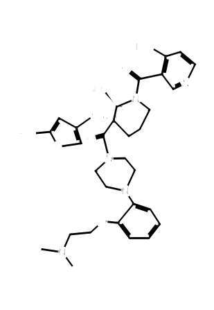 CCC[C@H]1N(C(=O)c2cnccc2C(F)(F)F)CCC[C@@]1(Oc1csc(C(F)(F)F)c1)C(=O)N1CCN(c2ccccc2OCCN(C)C)CC1